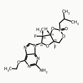 CCOc1nc(N)nc2c1ncn2[C@@H]1O[C@]2(F)COP(=O)(CC(C)C)O[C@H]2[C@@]1(C)F